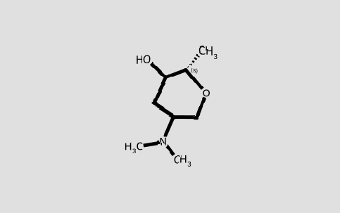 C[C@@H]1OCC(N(C)C)CC1O